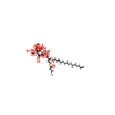 CCCCCCCCCCCCCCCC(=O)O[C@H](CCSC(=O)CCC)COP(=O)(O)OC1C(O)[C@H](O)[C@@H](OP(=O)(O)O)[C@@H](OP(=O)(O)O)C1O